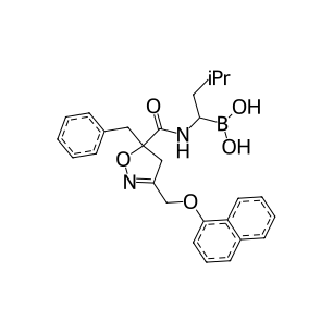 CC(C)CC(NC(=O)C1(Cc2ccccc2)CC(COc2cccc3ccccc23)=NO1)B(O)O